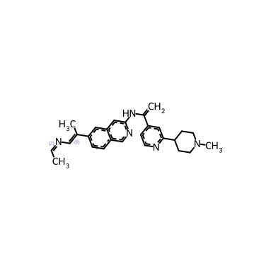 C=C(Nc1cc2cc(/C(C)=C/N=C\C)ccc2cn1)c1ccnc(C2CCN(C)CC2)c1